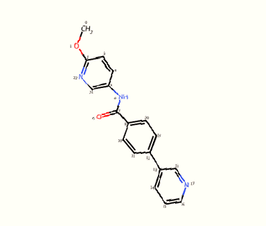 COc1ccc(NC(=O)c2ccc(-c3cccnc3)cc2)cn1